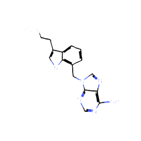 Nc1ncnc2c1ncn2Cc1cccc2c(CCC(=O)O)c[nH]c12